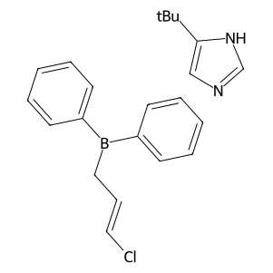 CC(C)(C)c1cnc[nH]1.ClC=CCB(c1ccccc1)c1ccccc1